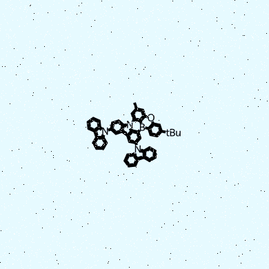 Cc1cc2c3c(c1)-n1c4ccc(-n5c6ccccc6c6ccccc65)cc4c4cc(-n5c6ccccc6c6ccccc65)cc(c41)B3c1ccc(C(C)(C)C)cc1O2